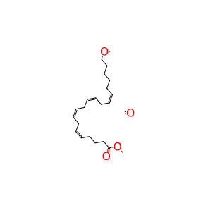 COC(=O)CCC/C=C\C/C=C\C/C=C\C/C=C\CCCCC[O].[O]